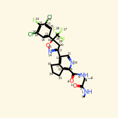 CNC(=O)[C@@H](C)NC(=O)c1ncc(C2=NOC(c3cc(Cl)c(F)c(Cl)c3)(C(F)(F)F)C2)c2c1CCC2